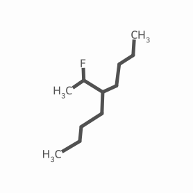 CCCCC(CCCC)C(C)F